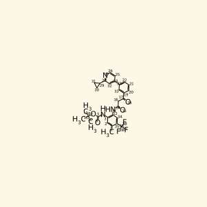 Cc1cc(NC(=O)OC(C)(C)C)c(NC(=O)CC(=O)c2cccc(-c3ccnc(C4CC4)c3)c2)cc1C(F)(F)F